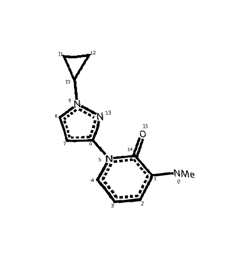 CNc1cccn(-c2ccn(C3CC3)n2)c1=O